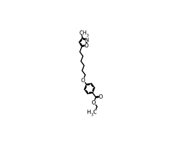 CCOC(=O)c1ccc(OCCCCCCc2cc(C)no2)cc1